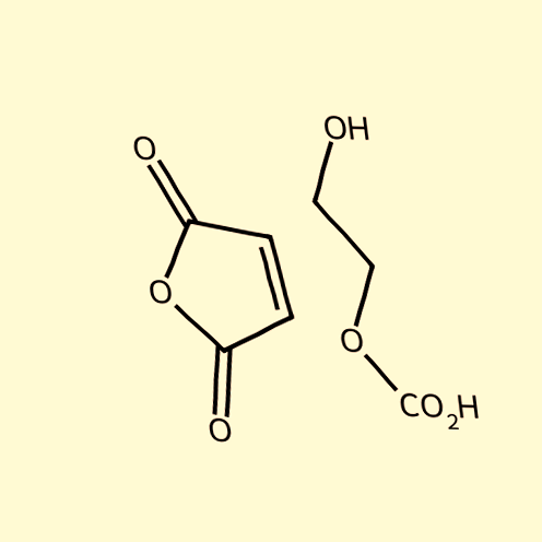 O=C(O)OCCO.O=C1C=CC(=O)O1